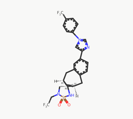 O=S1(=O)N[C@@]2(CN1CC(F)(F)F)[C@@H]1CC[C@H]2Cc2ccc(-c3cn(-c4ccc(C(F)(F)F)cc4)cn3)cc2C1